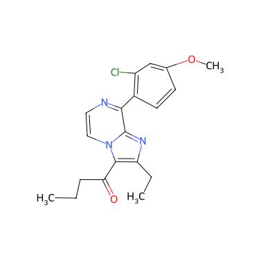 CCCC(=O)c1c(CC)nc2c(-c3ccc(OC)cc3Cl)nccn12